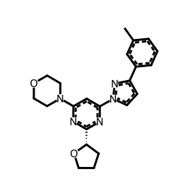 Cc1cccc(-c2ccn(-c3cc(N4CCOCC4)nc([C@@H]4CCCO4)n3)n2)c1